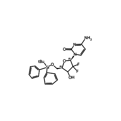 CC(C)(C)[Si](OC[C@H]1O[C@@H](n2ccc(N)nc2=O)C(F)(F)C1O)(c1ccccc1)c1ccccc1